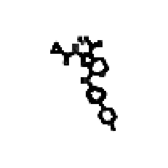 CN1CCN(c2ccc(NC3OCCc4c3sc(NC(=O)C3CC3)c4C(N)=O)cc2)CC1